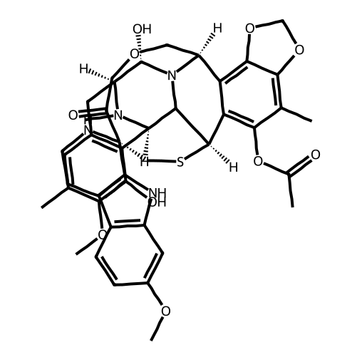 COc1ccc2c3c([nH]c2c1)[C@@]1(CS[C@@H]2c4c(OC(C)=O)c(C)c5c(c4[C@H](COCC1=O)N1C2[C@H]2c4c(cc(C)c(OC)c4O)C[C@@H]([C@@H]1O)N2C)OCO5)NCC3